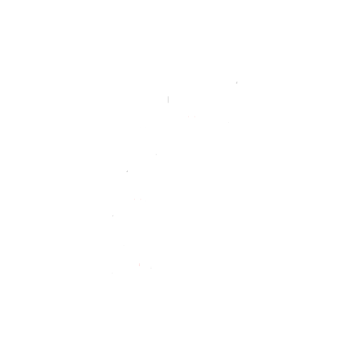 C[SiH](CCCOCC1CO1)O[Si](C)(C)C